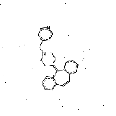 C1=Cc2ccccc2C(=C2CCN(Cc3ccncc3)CC2)c2ccccc21